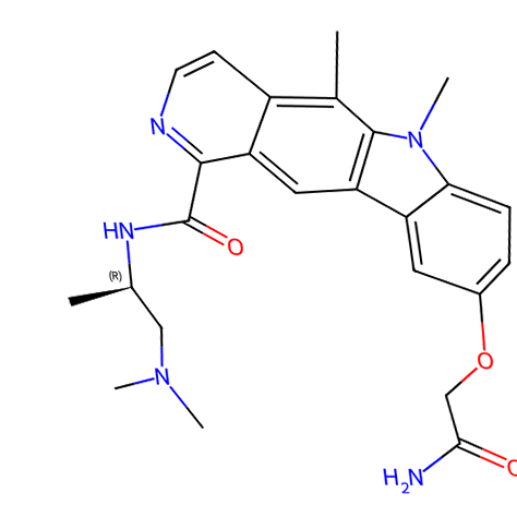 Cc1c2ccnc(C(=O)N[C@H](C)CN(C)C)c2cc2c3cc(OCC(N)=O)ccc3n(C)c12